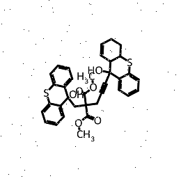 COC(=O)C(CC#CC1(O)c2ccccc2SC2CCC=CC21)(CC1(O)c2ccccc2Sc2ccccc21)C(=O)OC